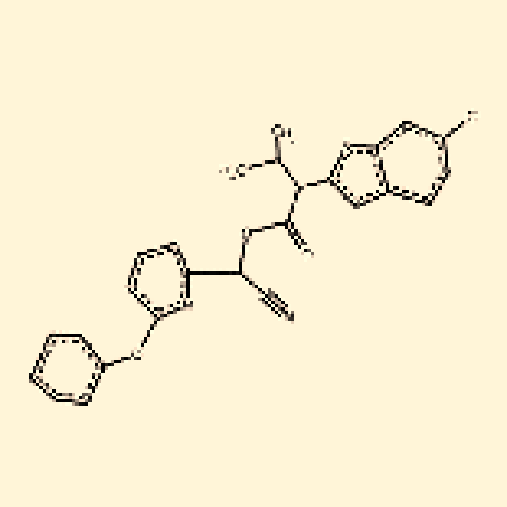 CC(C)C(C(=O)OC(C#N)c1cccc(Oc2ccccc2)n1)c1cc2ccc(Cl)cc2s1